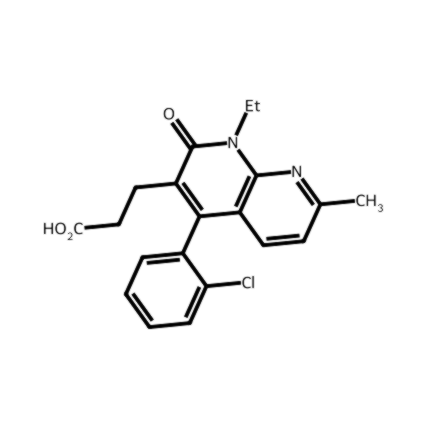 CCn1c(=O)c(CCC(=O)O)c(-c2ccccc2Cl)c2ccc(C)nc21